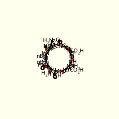 CCCC[C@H]1C(=O)N(C)[C@@H](CCCC)C(=O)N[C@@H](CCCN)C(=O)N[C@H](C(O)NCC(N)=O)CSCC(=O)N[C@@H](Cc2ccc(O)cc2)C(=O)N2CCC[C@H]2C(=O)N[C@@H](CC(=O)O)C(=O)N2CCC[C@H]2C(=O)N[C@@H](CN)C(=O)N[C@@H](CCC(=O)O)C(=O)N2CCC[C@H]2C(=O)N[C@@H](Cc2c[nH]c3ccccc23)C(=O)N[C@@H](CCN)C(=O)N[C@@H](Cc2c[nH]c3ccccc23)C(=O)N1C